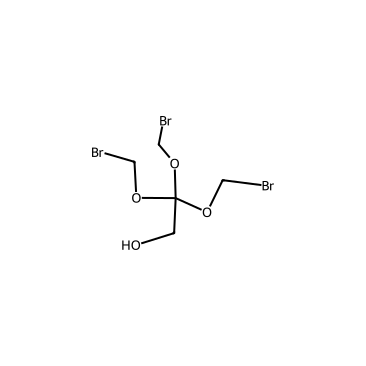 OCC(OCBr)(OCBr)OCBr